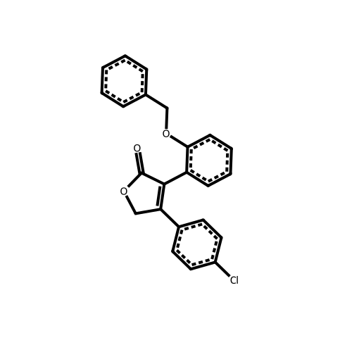 O=C1OCC(c2ccc(Cl)cc2)=C1c1ccccc1OCc1ccccc1